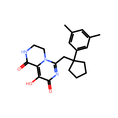 Cc1cc(C)cc(C2(Cc3nc(=O)c(O)c4n3CCNC4=O)CCCC2)c1